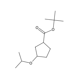 CC(C)OC1CCC(C(=O)OC(C)(C)C)C1